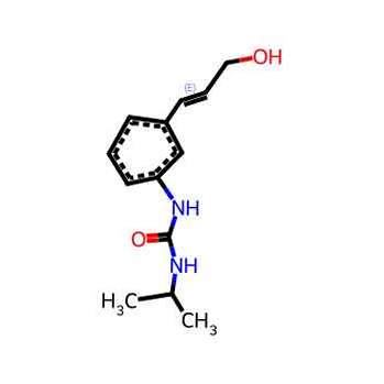 CC(C)NC(=O)Nc1cccc(/C=C/CO)c1